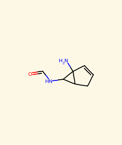 NC12C=CCC1C2NC=O